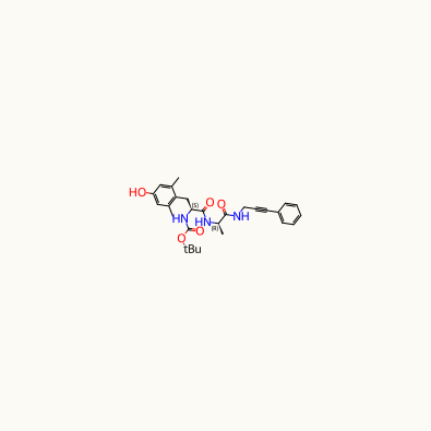 Cc1cc(O)cc(C)c1C[C@H](NC(=O)OC(C)(C)C)C(=O)N[C@H](C)C(=O)NCC#Cc1ccccc1